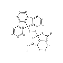 CCOCC(CCC(c1ccccc1)(c1ccccc1)c1ccccc1)(COC)C1CCCCC1